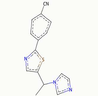 CC(c1cnc(-c2ccc(C#N)cc2)s1)n1ccnc1